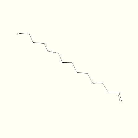 O=CCCCCCCCCCCCCBr